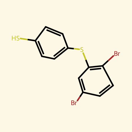 Sc1ccc(Sc2cc(Br)ccc2Br)cc1